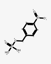 O=[N+]([O-])c1ccc(COP(=O)(O)O)cc1